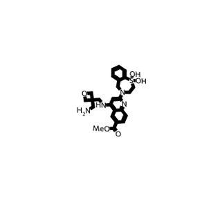 COC(=O)c1ccc2nc(N3CCS(O)(O)c4ccccc4C3)cc(NCC3(CN)COC3)c2c1